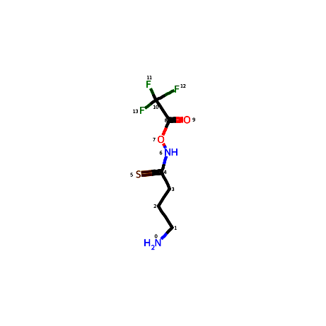 NCCCC(=S)NOC(=O)C(F)(F)F